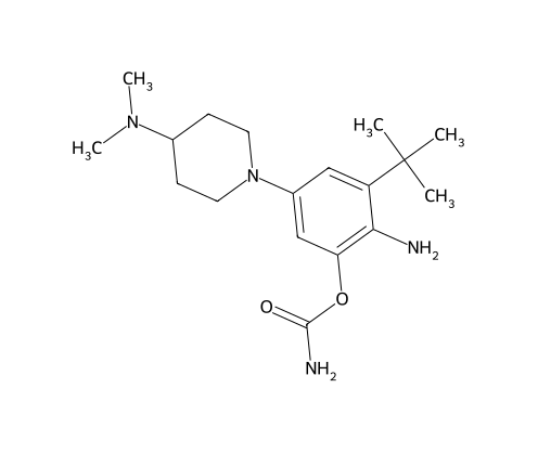 CN(C)C1CCN(c2cc(OC(N)=O)c(N)c(C(C)(C)C)c2)CC1